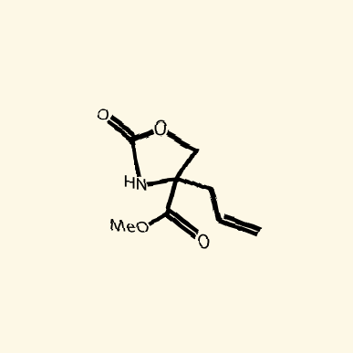 C=CCC1(C(=O)OC)COC(=O)N1